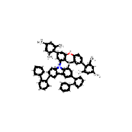 Cc1cc(C)c(-c2ccc3c(c2)B2c4c(cc(-c5c(C)cc(C)cc5C)cc4-n4c5ccc(-c6ccccc6-c6ccccc6)cc5c5cc(-c6ccccc6-c6ccccc6)cc2c54)O3)c(C)c1